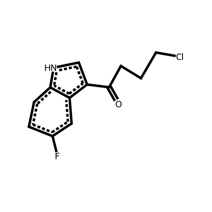 O=C(CCCCl)c1c[nH]c2ccc(F)cc12